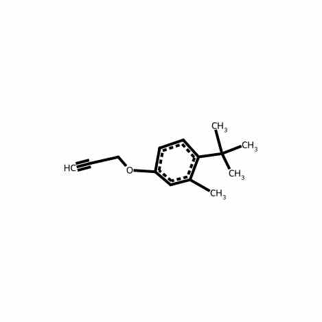 C#CCOc1ccc(C(C)(C)C)c(C)c1